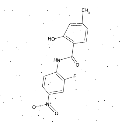 Cc1ccc(C(=O)Nc2ccc([N+](=O)[O-])cc2F)c(O)c1